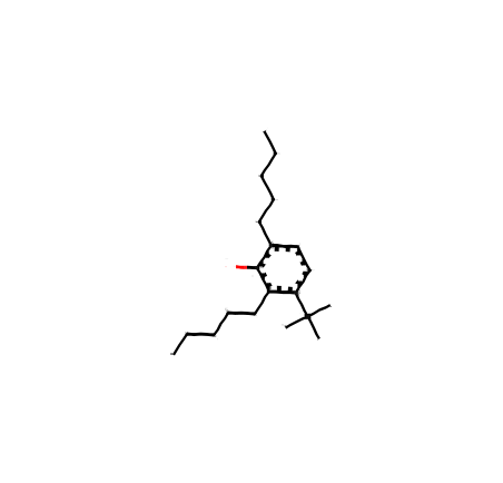 CCCCCc1ccc(C(C)(C)C)c(CCCCC)c1O